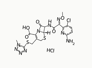 CON=C(C(=O)NC1C(=O)N2C(C(=O)O)=C(CSc3nnnn3C)CS[C@@H]12)c1nc(N)ccc1Cl.Cl